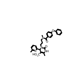 CC1=C(C(=O)O)C(c2cccc(C)n2)N(CCCN(C)C(=O)c2ccc(Oc3ccccc3)cc2)C(=O)N1